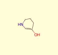 OC1=CNCCC1